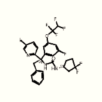 O=C(N[C@@H]1CCC(F)(F)C1)N[C@@](Cc1ccccc1)(c1cc(F)cc(OC(F)(F)C(F)F)c1)c1ccc(I)cn1